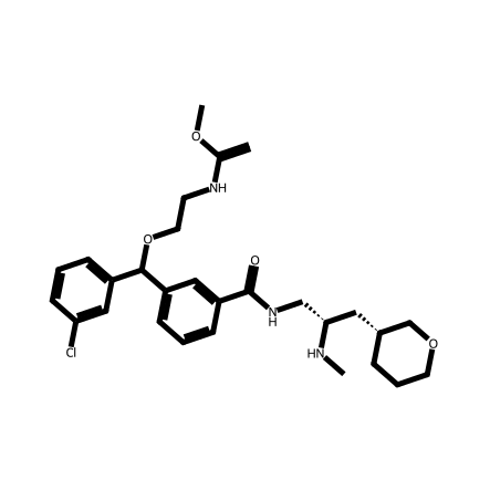 C=C(NCCOC(c1cccc(Cl)c1)c1cccc(C(=O)NC[C@H](C[C@H]2CCCOC2)NC)c1)OC